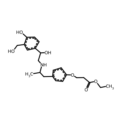 CCOC(=O)CCOc1ccc(CC(C)NCC(O)c2ccc(O)c(CO)c2)cc1